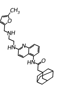 Cc1ccc(CNCCNc2ccc3c(NC(=O)CC45CC6CC(CC(C6)C4)C5)cccc3n2)o1